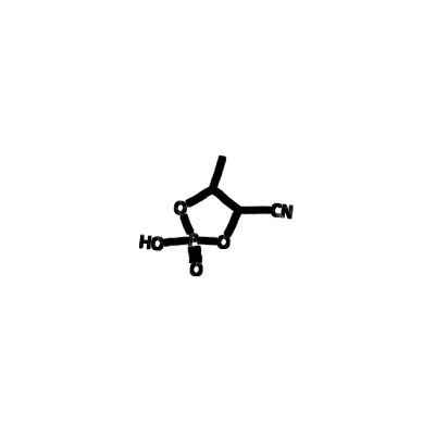 CC1OP(=O)(O)OC1C#N